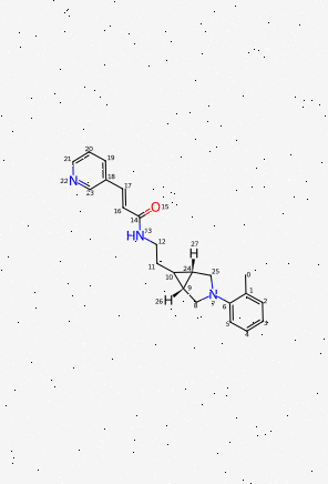 Cc1ccccc1N1C[C@@H]2C(CCNC(=O)/C=C/c3cccnc3)[C@@H]2C1